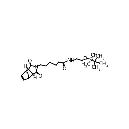 CC(C)(C)[Si](C)(C)OCCCNC(=O)CCCCCN1C(=O)[C@@H]2C3C=CC(C3)[C@@H]2C1=O